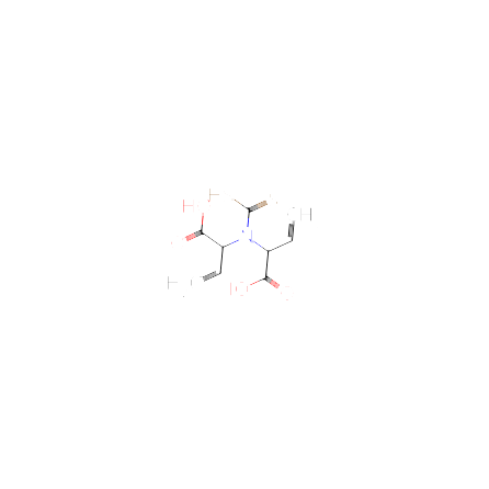 C=CC(C(=O)O)N(C(=S)S)C(C=C)C(=O)O